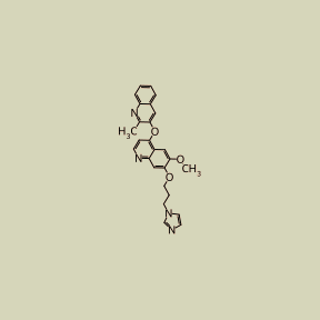 COc1cc2c(Oc3cc4ccccc4nc3C)ccnc2cc1OCCCn1ccnc1